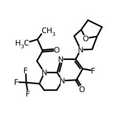 CC(C)C(=O)CN1c2nc(N3CC4CCC(C3)O4)c(F)c(=O)n2CCC1C(F)(F)F